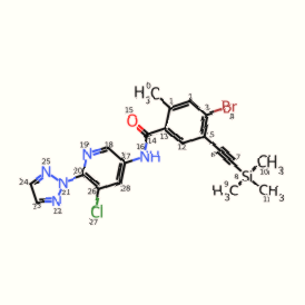 Cc1cc(Br)c(C#C[Si](C)(C)C)cc1C(=O)Nc1cnc(-n2nccn2)c(Cl)c1